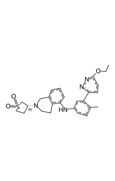 CCOc1ccc(-c2cc(Nc3cccc4c3CCN([C@@H]3CCS(=O)(=O)C3)C4)ccc2C)nn1